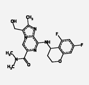 Cc1nc2c(NC3CCOc4cc(F)cc(F)c43)nc(C(=O)N(C)C)cn2c1CO